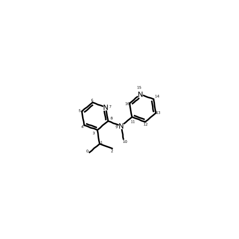 CC(C)c1cccnc1N(C)c1cccnc1